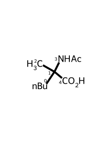 CCCCC(C)(NC(C)=O)C(=O)O